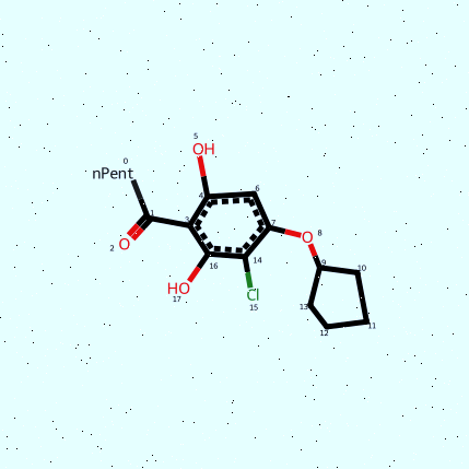 CCCCCC(=O)c1c(O)cc(OC2CCCC2)c(Cl)c1O